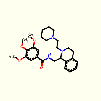 COc1cc(C(=O)NCC2c3ccccc3CCN2CCN2C[CH][CH]CC2)cc(OC)c1OC